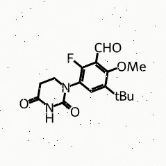 COc1c(C(C)(C)C)cc(N2CCC(=O)NC2=O)c(F)c1C=O